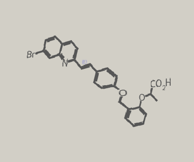 CC(Oc1ccccc1COc1ccc(/C=C/c2ccc3ccc(Br)cc3n2)cc1)C(=O)O